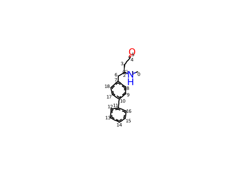 CN[C@H](CC=O)Cc1ccc(-c2ccccc2)cc1